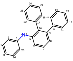 c1ccc([N]c2cccc(-c3ccccc3)c2-c2ccccc2)cc1